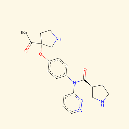 CC(C)(C)C(=O)[C@@]1(Oc2ccc(N(C(=O)[C@H]3CCNC3)c3cccnn3)cc2)CCNC1